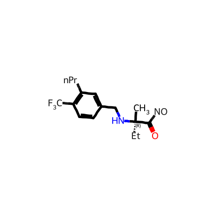 CCCc1cc(CN[C@](C)(CC)C(=O)N=O)ccc1C(F)(F)F